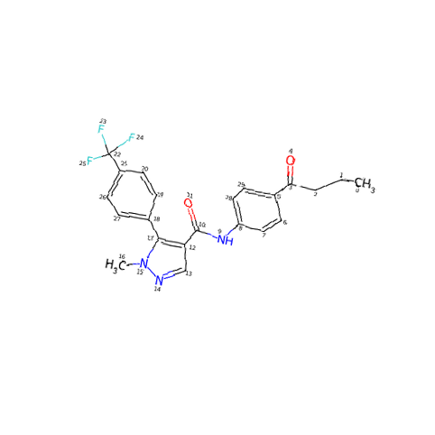 CCCC(=O)c1ccc(NC(=O)c2cnn(C)c2-c2ccc(C(F)(F)F)cc2)cc1